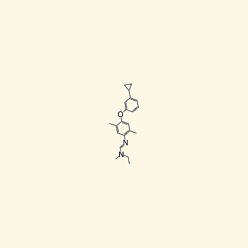 CCN(C)C=Nc1cc(C)c(Oc2cccc(C3CC3)c2)cc1C